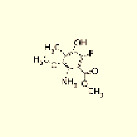 COC(=O)c1c(N)c(OC)c(C)c(O)c1F